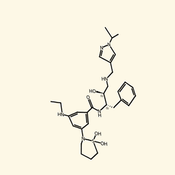 CCNc1cc(C(=O)N[C@@H](Cc2ccccc2)[C@@H](O)CNCc2cnn(C(C)C)c2)cc(N2CCCCS2(O)O)c1